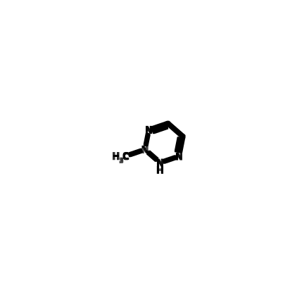 CN1N=CC=NN1